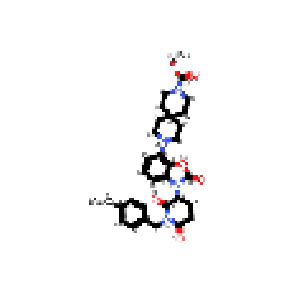 COc1ccc(CN2C(=O)CCC(n3c(=O)oc4c(N5CCC6(CCN(C(=O)OC(C)(C)C)CC6)CC5)cccc43)C2=O)cc1